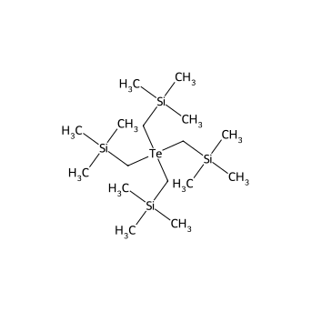 C[Si](C)(C)C[Te](C[Si](C)(C)C)(C[Si](C)(C)C)C[Si](C)(C)C